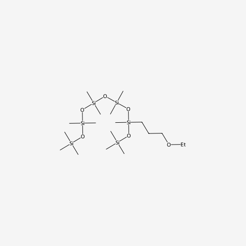 CCOCCC[Si](C)(O[Si](C)(C)C)O[Si](C)(C)O[Si](C)(C)O[Si](C)(C)O[Si](C)(C)C